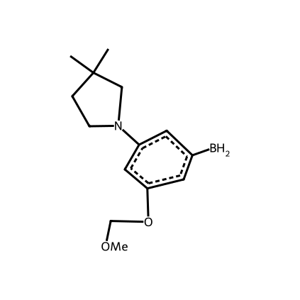 Bc1cc(OCOC)cc(N2CCC(C)(C)C2)c1